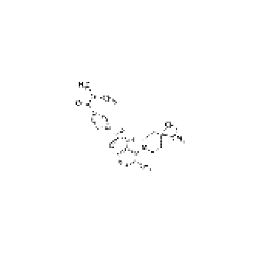 Cc1cccc(NS(=O)(=O)c2ccc(C(=O)N(C)C)s2)c1N1CCC(C)(C)CC1